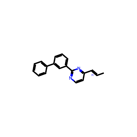 C/C=C/c1ccnc(-c2cccc(-c3ccccc3)c2)n1